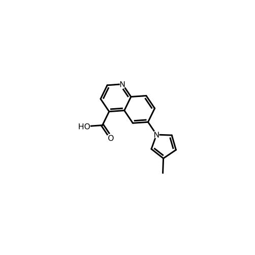 Cc1ccn(-c2ccc3nccc(C(=O)O)c3c2)c1